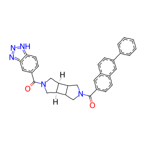 O=C(c1ccc2cc(-c3ccccc3)ccc2c1)N1CC2C(C1)[C@@H]1CN(C(=O)c3ccc4[nH]nnc4c3)C[C@H]21